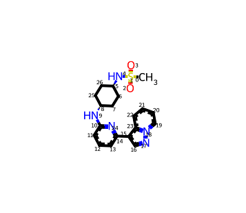 CS(=O)(=O)N[C@H]1CC[C@H](Nc2cccc(-c3cnn4ccccc34)n2)CC1